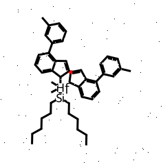 CCCCCC[Si](CCCCCC)=[Hf]([CH3])([CH3])([CH]1C=Cc2c(-c3cccc(C)c3)cccc21)[CH]1C=Cc2c(-c3cccc(C)c3)cccc21